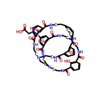 O=C(O)CNS(=O)(=O)c1cc2c(O)c(c1)C(=O)NCCN1CCNC(=O)c3cccc(c3O)C(=O)NCCC(/C=C/C3CCNC(=O)c4cccc(c4O)C(=O)NCCN(CCNC(=O)c4cccc(c4O)C(=O)NCC3)CC1)CCNC2=O